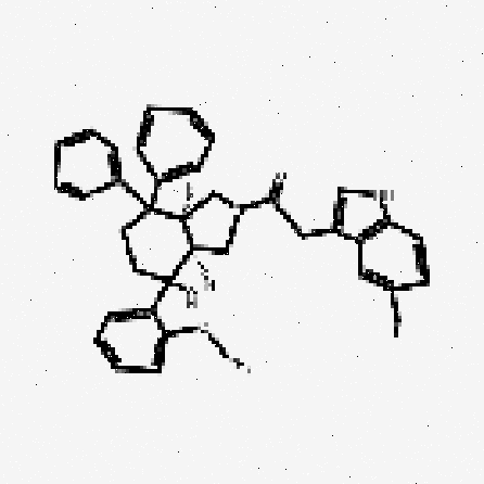 COc1ccccc1[C@]1(O)CCC(c2ccccc2)(c2ccccc2)[C@H]2CN(C(=O)Cc3c[nH]c4ccc(F)cc34)C[C@H]21